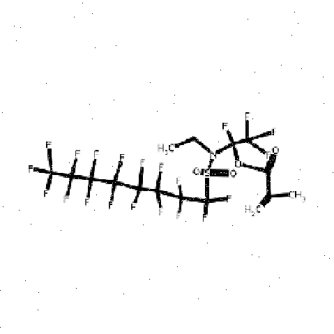 C=C(C)C(=O)OC(F)(N(CC)S(=O)(=O)C(F)(F)C(F)(F)C(F)(F)C(F)(F)C(F)(F)C(F)(F)C(F)(F)C(F)(F)F)C(F)(F)F